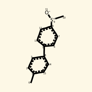 Cc1ccc(-c2ccc([S+](C)[O-])cc2)cc1